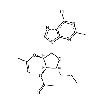 CSC[C@H]1OC(n2cnc3c(Cl)nc(I)nc32)[C@H](OC(C)=O)[C@@H]1OC(C)=O